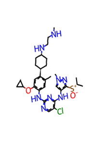 CNCCN[C@H]1CC[C@@H](c2cc(OC3CC3)c(Nc3ncc(Cl)c(Nc4cn(C)nc4[S+]([O-])C(C)C)n3)cc2C)CC1